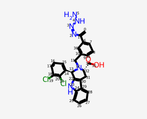 C=C(/N=N\NN)c1cccc(CN2[C@H](c3cccc(Cl)c3Cl)c3[nH]c4ccccc4c3C[C@H]2C(=O)O)c1